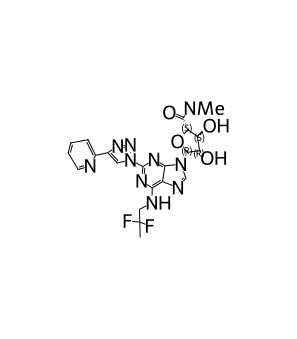 CNC(=O)[C@H]1O[C@@H](n2cnc3c(NCC(C)(F)F)nc(-n4cc(-c5ccccn5)nn4)nc32)[C@H](O)[C@@H]1O